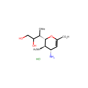 COC(C(O)CO)[C@@H]1OC(C(=O)O)=C[C@H](N)[C@H]1NC(C)=O.Cl